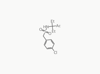 CCC(CC)(NS(=O)(=O)Cc1ccc(Cl)cc1)C(C)=O